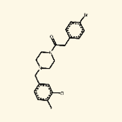 Cc1ccc(CN2CCN(C(=O)Cc3ccc(Br)cc3)CC2)cc1Cl